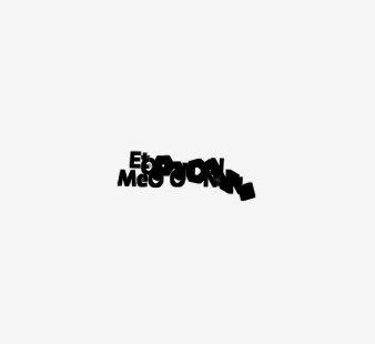 CCOc1ccc(CC(=O)N2CCc3cnc(N4CCN(C5CCC5)CC4)nc3CC2)cc1OC